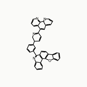 C1=CC(c2cccc(-c3nc4ccccc4c4c3ccc3c5ccccc5oc34)c2)CN=C1c1cc2cccnc2c2ncccc12